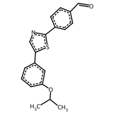 CC(C)Oc1cccc(-c2cnc(-c3ccc(C=O)cc3)s2)c1